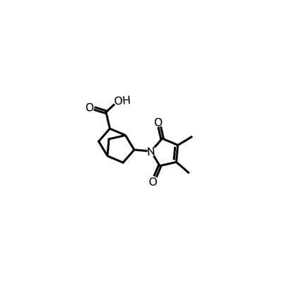 CC1=C(C)C(=O)N(C2CC3CC(C(=O)O)C2C3)C1=O